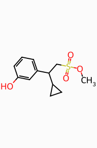 COS(=O)(=O)CC(c1cccc(O)c1)C1CC1